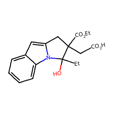 CCOC(=O)C1(CC(=O)O)Cc2cc3ccccc3n2C1(O)CC